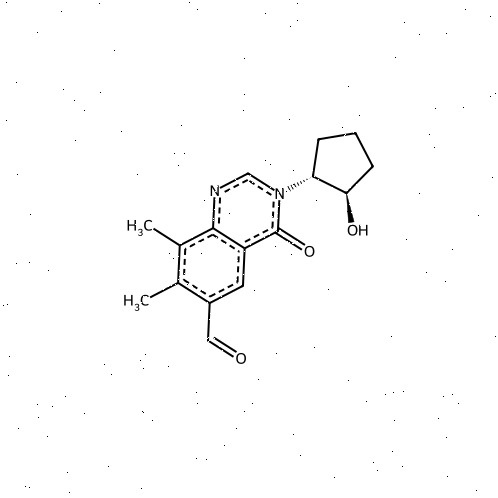 Cc1c(C=O)cc2c(=O)n([C@@H]3CCC[C@H]3O)cnc2c1C